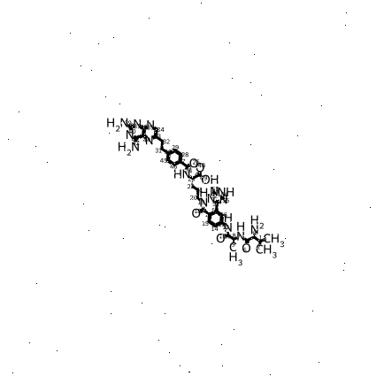 CC(C)[C@H](N)C(=O)N[C@@H](C)C(=O)Nc1ccc(C(=O)NCCC[C@H](NC(=O)c2ccc(CCc3cnc4nc(N)nc(N)c4n3)cc2)C(=O)O)c(-c2nn[nH]n2)c1